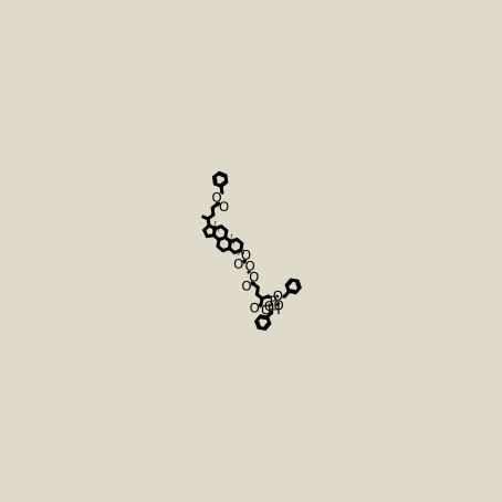 CC(CCC(=O)OCc1ccccc1)C1CCC2C3CCC4C[C@H](OC(=O)OCOC(=O)CCC(CP(=O)(OCc5ccccc5)OCc5ccccc5)C(=O)O)CC[C@]4(C)C3CC[C@]12C